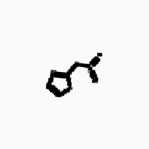 O=[SH](=O)[CH]c1nccs1